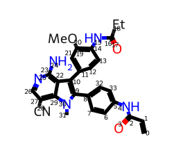 C=CC(=O)Nc1ccc(-c2c(-c3ccc(NC(=O)CC)c(OC)c3)c3c(N)ncc(C#N)c3n2C)cc1